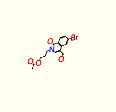 CC(=O)OCCCn1cc(C=O)c2cc(Br)ccc2c1=O